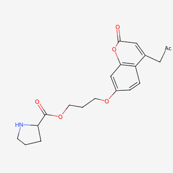 CC(=O)Cc1cc(=O)oc2cc(OCCCOC(=O)C3CCCN3)ccc12